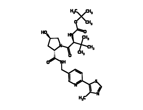 Cc1ncsc1-c1ccc(CNC(=O)[C@@H]2C[C@@H](O)CN2C(=O)[C@@H](NC(=O)OC(C)(C)C)C(C)(C)C)cn1